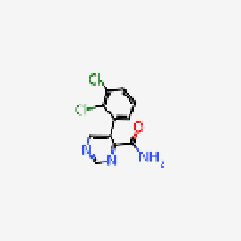 NC(=O)c1ncncc1-c1cccc(Cl)c1Cl